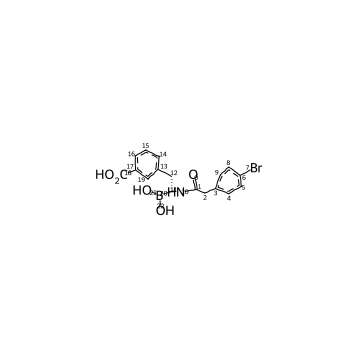 O=C(Cc1ccc(Br)cc1)N[C@@H](Cc1cccc(C(=O)O)c1)B(O)O